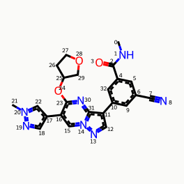 CNC(=O)c1cc(C#N)cc(-c2cnn3cc(-c4cnn(C)c4)c(OC4CCOC4)nc23)c1